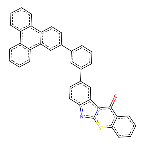 O=c1c2ccccc2sc2nc3ccc(-c4cccc(-c5ccc6c7ccccc7c7ccccc7c6c5)c4)cc3n12